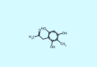 CC(=O)Cc1c(O)cc(O)c(C)c1O